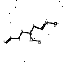 C=CCCC(CC=NO)OC